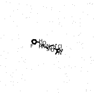 Cc1nn(C)c(Cl)c1C(=O)N(C)Cc1nsc(NC(=O)NCc2cccc(F)c2)n1